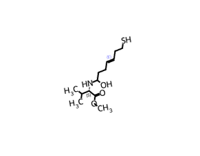 COC(=O)[C@@H](NC(O)CC/C=C/CCS)C(C)C